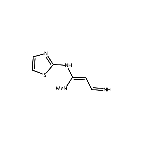 CN/C(=C\C=N)Nc1nccs1